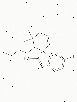 CCCCC1C(C)(C)CC=CC1(C(N)=O)c1cccc(I)c1